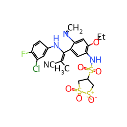 C=Nc1cc(OCC)c(NS(=O)(=O)C2C[S+]([O-])S(=O)(=O)C2)cc1/C(Nc1ccc(F)c(Cl)c1)=C(\C)C#N